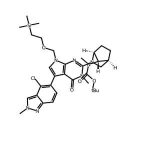 CN(C(=O)OC(C)(C)C)[C@H]1[C@H]2CC[C@@H]1N(c1nc3c(c(-c4ccc5nn(C)cc5c4Cl)cn3COCC[Si](C)(C)C)c(=O)n1C)C2